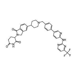 O=C1CCC(N2Cc3cc(C4CCN(Cc5ccc(-c6ccc(Nc7nccc(C(F)(F)F)n7)nc6)cc5)CC4)ccc3C2=O)C(=O)N1